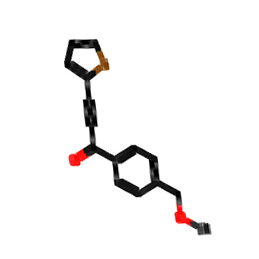 CCOCc1ccc(C(=O)C#Cc2cccs2)cc1